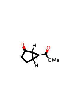 COC(=O)[C@H]1[C@@H]2CCC(=O)[C@@H]21